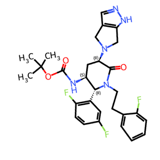 CC(C)(C)OC(=O)N[C@H]1C[C@@H](N2Cc3cn[nH]c3C2)C(=O)N(CCc2ccccc2F)[C@@H]1c1cc(F)ccc1F